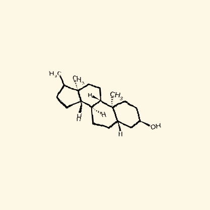 CC1CC[C@H]2[C@@H]3CC[C@H]4C[C@H](O)CC[C@]4(C)[C@H]3CC[C@]12C